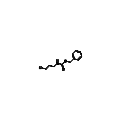 O=C(NCCCCl)OCc1ccccc1